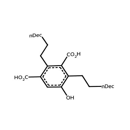 CCCCCCCCCCCCc1c(O)cc(C(=O)O)c(CCCCCCCCCCCC)c1C(=O)O